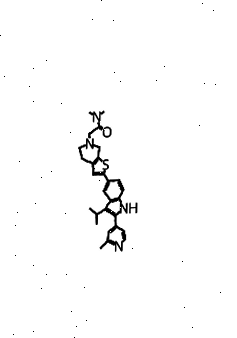 Cc1cc(-c2[nH]c3ccc(-c4cc5c(s4)CN(CC(=O)N(C)C)CC5)cc3c2C(C)C)ccn1